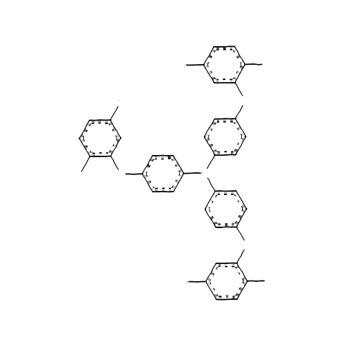 Nc1ccc(Cl)c(Oc2ccc(N(c3ccc(Oc4cc(N)ccc4Cl)cc3)c3ccc(Oc4cc(N)ccc4Cl)cc3)cc2)c1